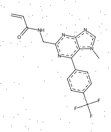 C=CC(=O)NCc1nc(-c2ccc(C(F)(F)F)cc2)c2c(ncn2C)n1